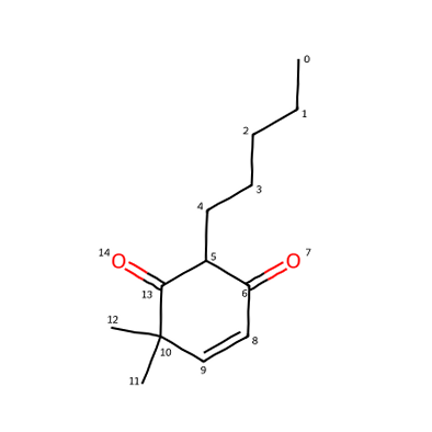 CCCCCC1C(=O)C=CC(C)(C)C1=O